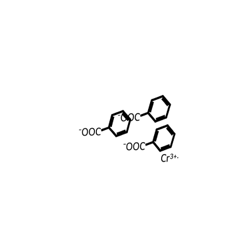 O=C([O-])c1ccccc1.O=C([O-])c1ccccc1.O=C([O-])c1ccccc1.[Cr+3]